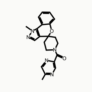 Cc1cnc(C(=O)N2CCC3(CC2)Oc2ccccc2-c2c3cnn2C)cn1